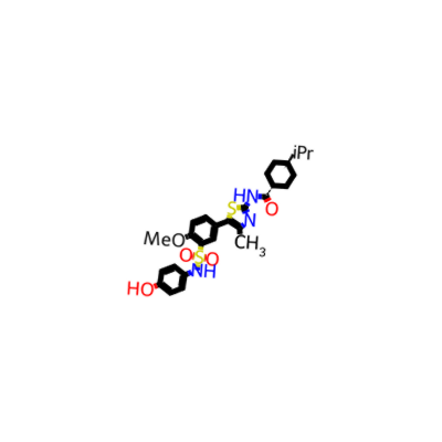 COc1ccc(-c2sc(NC(=O)[C@H]3CC[C@H](C(C)C)CC3)nc2C)cc1S(=O)(=O)Nc1ccc(O)cc1